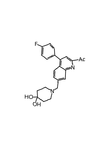 CC(=O)c1cc(-c2ccc(F)cc2)c2ccc(CN3CCC(O)(O)CC3)cc2n1